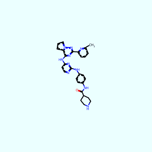 Cc1cccc(-c2nc(Nc3ccnc(Nc4ccc(NC(=O)C5CCNCC5)cc4)n3)c3cccn3n2)n1